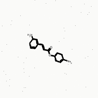 NC1=CCC(OC(=O)/C=C/C2=CC(N)CC=C2)CC1